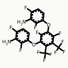 Nc1c(F)ccc(Oc2c(F)c(Oc3ccc(F)c(N)c3F)c(C(F)(F)F)c(C(F)(F)F)c2F)c1F